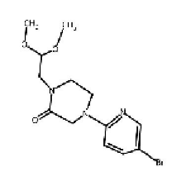 COC(CN1CCN(c2ccc(Br)cn2)CC1=O)OC